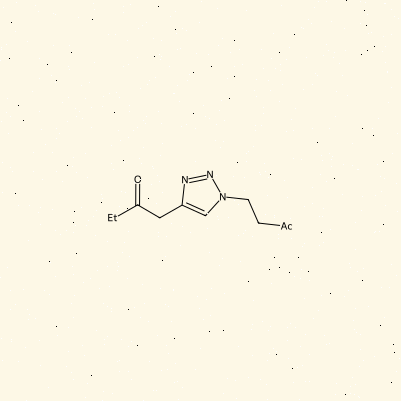 CCC(=O)Cc1cn(CCC(C)=O)nn1